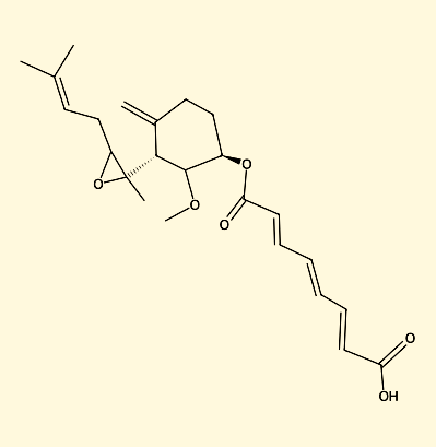 C=C1CC[C@@H](OC(=O)/C=C/C=C/C=C/C(=O)O)C(OC)[C@@H]1C1(C)OC1CC=C(C)C